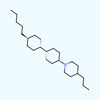 CCCCC[C@H]1CC[C@H]([C@H]2CC[C@H](N3CCC(CCC)CC3)CC2)CC1